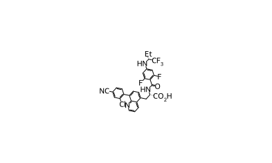 CC[C@@H](Nc1cc(F)c(C(=O)N[C@@H](Cc2ccc(-c3ccc(C#N)cc3Cl)c3ncccc23)C(=O)O)c(F)c1)C(F)(F)F